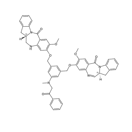 COc1cc2c(cc1OCc1cc(COc3cc4c(cc3OC)C(=O)N3c5ccccc5C[C@H]3CN4)cc(N(C)CC(=O)c3ccccc3)c1)N=C[C@@H]1Cc3ccccc3N1C2=O